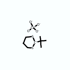 CC(C)(C)[C+]1SCCCS1.[O-][Cl+3]([O-])([O-])[O-]